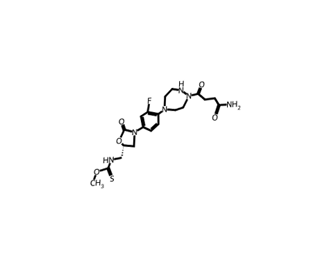 COC(=S)NC[C@H]1CN(c2ccc(N3CCNN(C(=O)CCC(N)=O)CC3)c(F)c2)C(=O)O1